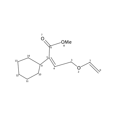 C=COCC=C(C(=O)OC)C1CCCCC1